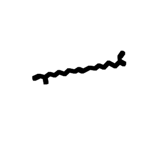 C=CC(=C)CCCCCCC=CCCCCCCC(=C)C=C